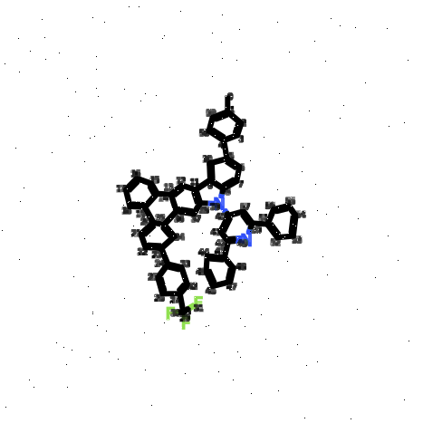 Cc1ccc(-c2ccc3c(c2)c2cc4c5ccccc5c5ccc(-c6ccc(C(F)(F)F)cc6)cc5c4cc2n3-c2cc(-c3ccccc3)nc(-c3ccccc3)c2)cc1